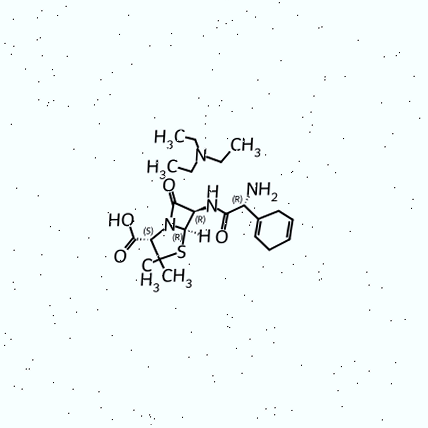 CC1(C)S[C@@H]2[C@H](NC(=O)[C@H](N)C3=CCC=CC3)C(=O)N2[C@H]1C(=O)O.CCN(CC)CC